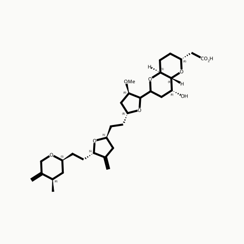 C=C1CO[C@@H](CC[C@@H]2O[C@@H](CC[C@@H]3C[C@@H](OC)C(C4C[C@@H](O)[C@H]5O[C@@H](CC(=O)O)CC[C@@H]5O4)O3)CC2=C)C[C@H]1C